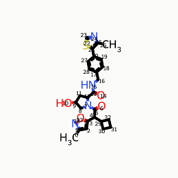 Cc1cc(C(C(=O)N2CC(O)CC2C(=O)NCc2ccc(-c3scnc3C)cc2)C2CCC2)on1